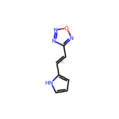 C(=C\c1ccc[nH]1)/c1nnon1